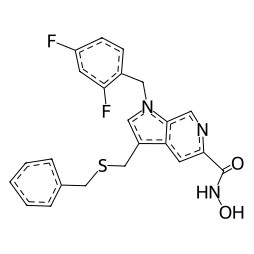 O=C(NO)c1cc2c(CSCc3ccccc3)cn(Cc3ccc(F)cc3F)c2cn1